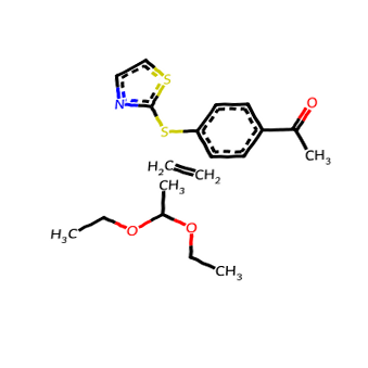 C=C.CC(=O)c1ccc(Sc2nccs2)cc1.CCOC(C)OCC